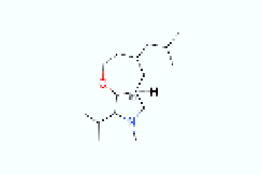 CC(C)CC1CCOC2C(C(C)C)N(C)C[C@@H]2C1